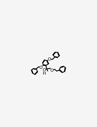 CC(O)(COCCc1ccccc1)c1cc(OCc2ccccc2)ccc1OCc1ccccc1